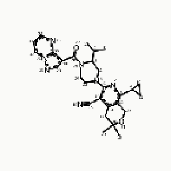 CC(C)C1CN(c2nc(C3CC3)c3c(c2C#N)CC(C)(C)OC3)CCN1C(=O)c1cnn2cccnc12